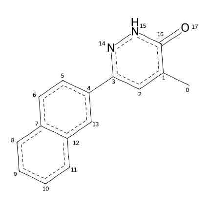 Cc1cc(-c2ccc3ccccc3c2)n[nH]c1=O